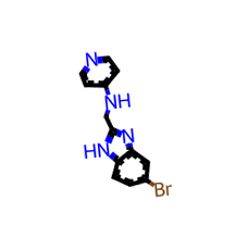 Brc1ccc2[nH]c(CNc3ccncc3)nc2c1